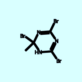 CC1(Br)N=C(Br)N=C(Br)N1